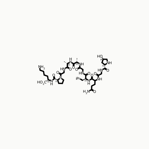 CC(C)C[C@H](NC(=O)C(CCC(N)=O)NC(=O)CNC(=O)[C@@H]1C[C@@H](O)CN1)C(=O)NCC(=O)N[C@@H](C)C(=O)N[C@@H](C)C(=O)NCC(=O)N1CCC[C@H]1C(=O)N[C@@H](CCCCN)C(=O)O